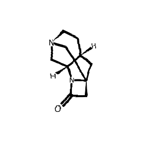 O=C1C[C@@]23C[C@H]4CC[N@](C[C@H]4N12)C3